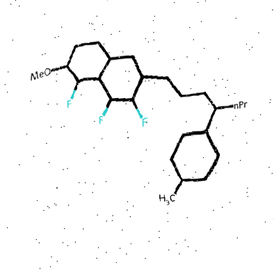 CCCC(CCCC1CC2CCC(OC)C(F)C2C(F)C1F)C1CCC(C)CC1